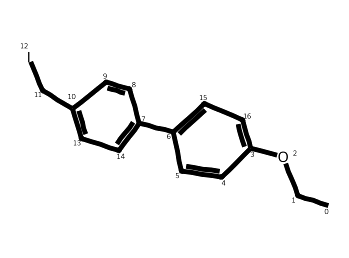 CCOc1ccc(-c2ccc(CI)cc2)cc1